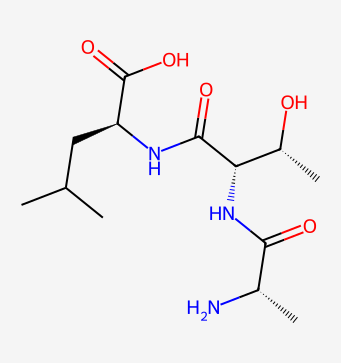 CC(C)C[C@H](NC(=O)[C@@H](NC(=O)[C@H](C)N)[C@@H](C)O)C(=O)O